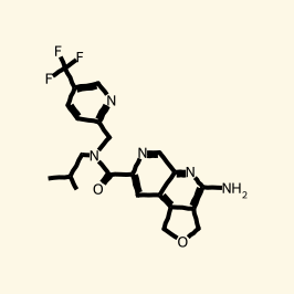 CC(C)CN(Cc1ccc(C(F)(F)F)cn1)C(=O)c1cc2c3c(c(N)nc2cn1)COC3